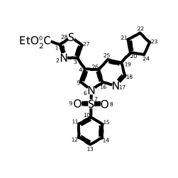 CCOC(=O)c1nc(-c2cn(S(=O)(=O)c3ccccc3)c3ncc(C4=CCCC4)cc23)cs1